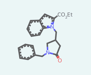 CCOC(=O)c1cc2ccccc2n1CC1CC(=O)N(Cc2ccccc2)C1